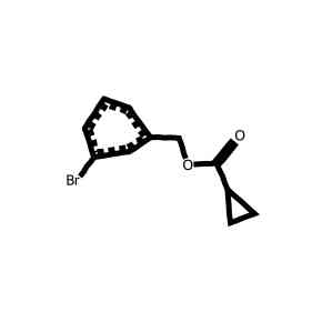 O=C(OCc1cccc(Br)c1)C1CC1